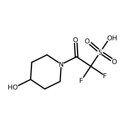 O=C(N1CCC(O)CC1)C(F)(F)S(=O)(=O)O